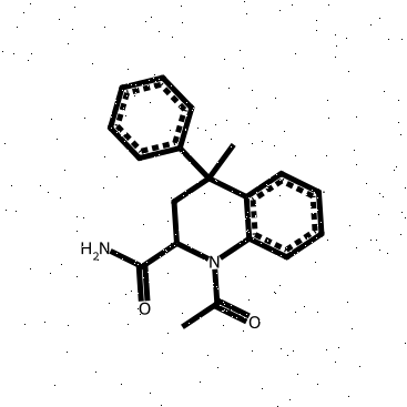 CC(=O)N1c2cc[c]cc2C(C)(c2ccccc2)CC1C(N)=O